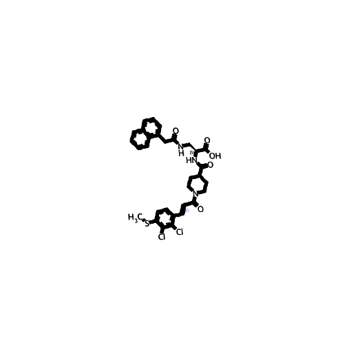 CSc1ccc(/C=C/C(=O)N2CCC(C(=O)N[C@@H](CNC(=O)Cc3cccc4ccccc34)C(=O)O)CC2)c(Cl)c1Cl